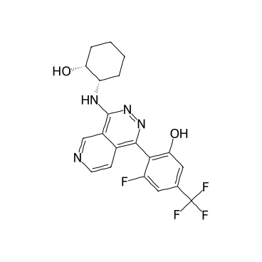 Oc1cc(C(F)(F)F)cc(F)c1-c1nnc(N[C@H]2CCCC[C@H]2O)c2cnccc12